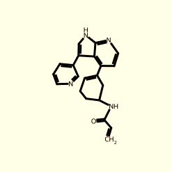 C=CC(=O)NC1CCC=C(c2ccnc3[nH]cc(-c4cccnc4)c23)C1